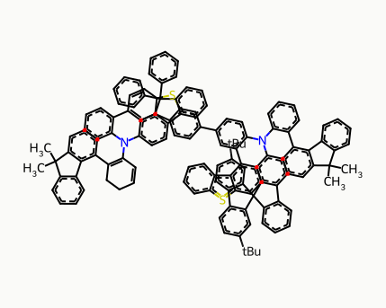 CC(C)(C)c1ccc2c(c1)C1(c3ccccc3-c3ccc(N(c4ccccc4-c4cccc5c4-c4ccccc4C5(C)C)c4ccc(-c5ccc6c(c5)SC5C=CC(c7ccccc7N(C7=C(c8cccc9c8-c8ccccc8C9(C)C)CCC=C7)c7ccc8c(c7)C(c7ccccc7)(c7ccccc7)c7ccccc7-8)=CC65)cc4-c4cccc5sc6ccccc6c45)cc31)c1cc(C(C)(C)C)ccc1-2